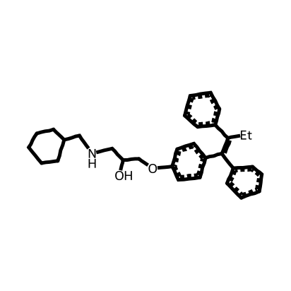 CC/C(=C(\c1ccccc1)c1ccc(OCC(O)CNCC2CCCCC2)cc1)c1ccccc1